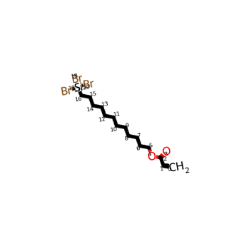 C=CC(=O)OCCCCCCCCCCCC[Si](Br)(Br)Br